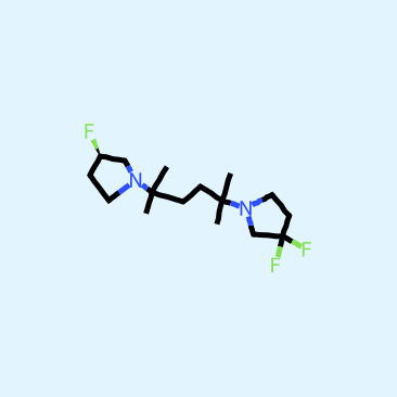 CC(C)(CCC(C)(C)N1CCC(F)(F)C1)N1CC[C@@H](F)C1